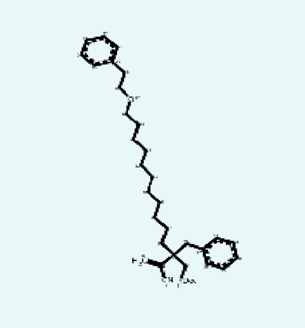 C=C(C#N)C(CCCCCCCCCCC)(CCCCCCCCCCCOCCc1ccccc1)Cc1ccccc1